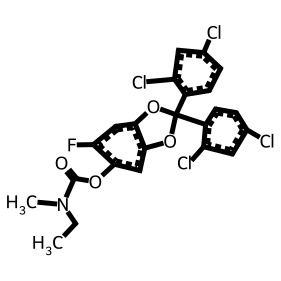 CCN(C)C(=O)Oc1cc2c(cc1F)OC(c1ccc(Cl)cc1Cl)(c1ccc(Cl)cc1Cl)O2